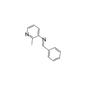 Cc1ncccc1N=Cc1ccccc1